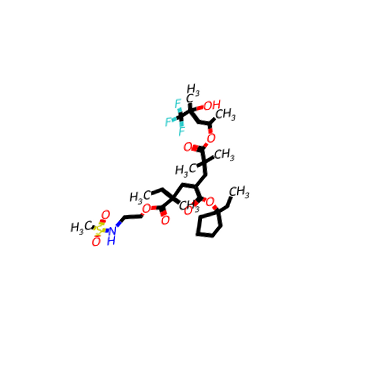 CCC1(OC(=O)C(CC(C)(C)C(=O)OC(C)CC(C)(O)C(F)(F)F)CC(C)(CC)C(=O)OCCNS(C)(=O)=O)CCCC1